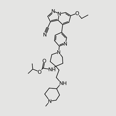 CCOc1cc(-c2ccc(N3CCC(CCNC4CCN(C)CC4)(NC(=O)OC(C)C)CC3)nc2)c2c(C#N)cnn2c1